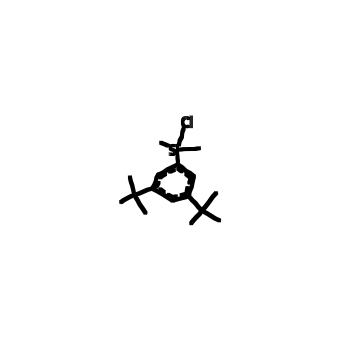 CC(C)(C)c1cc(C(C)(C)C)cc([Si](C)(C)Cl)c1